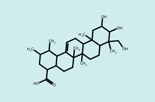 CC1CC(C(=O)O)C2CCC3(C)C(=CCC4C5(C)CC(O)C(O)C(C)(CO)C5CCC43C)C2C1C